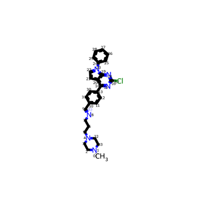 CN1CCN(CCC/N=C/c2ccc(-c3nc(Cl)nc4c3ccn4-c3ccccc3)cc2)CC1